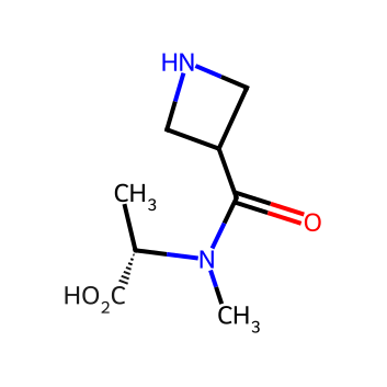 C[C@@H](C(=O)O)N(C)C(=O)C1CNC1